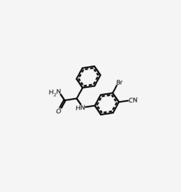 N#Cc1ccc(NC(C(N)=O)c2ccccc2)cc1Br